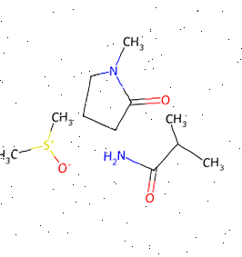 CC(C)C(N)=O.CN1CCCC1=O.C[S+](C)[O-]